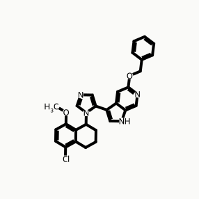 COc1ccc(Cl)c2c1C(n1cncc1-c1c[nH]c3cnc(OCc4ccccc4)cc13)CCC2